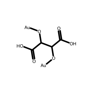 O=C(O)C([O][Au])C([O][Au])C(=O)O